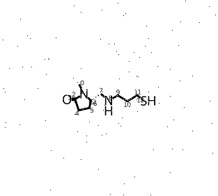 CN1C(=O)CC[C@H]1CNCCCS